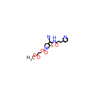 COC(=O)CCOC(=O)N1CCc2c(sc(NC(=O)/C=C/c3cccnc3)c2C#N)C1